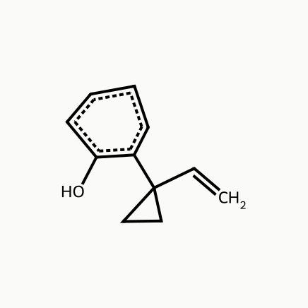 C=CC1(c2ccccc2O)CC1